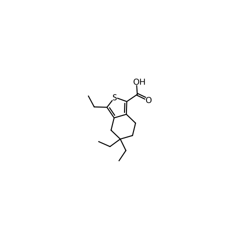 CCc1sc(C(=O)O)c2c1CC(CC)(CC)CC2